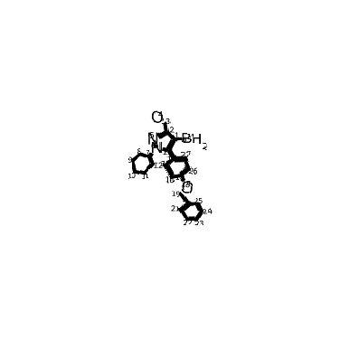 Bc1c(C=O)nn(C2CCCCC2)c1-c1ccc(OCc2ccccc2)cc1